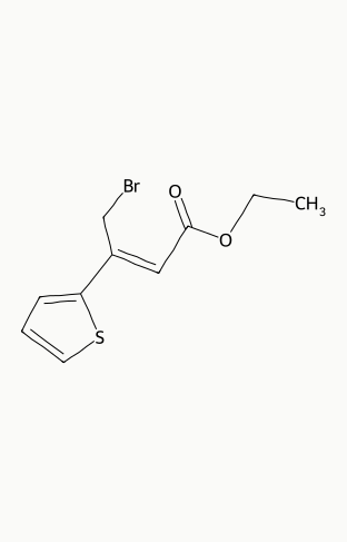 CCOC(=O)/C=C(\CBr)c1cccs1